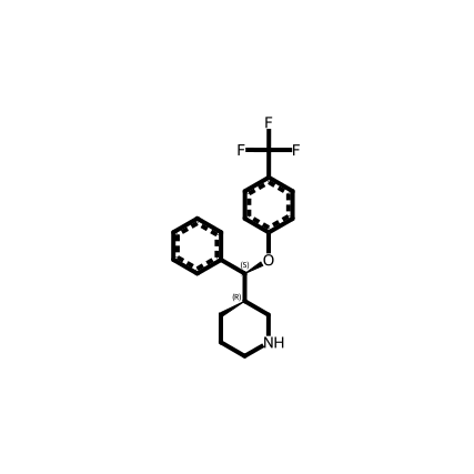 FC(F)(F)c1ccc(O[C@H](c2ccccc2)[C@@H]2CCCNC2)cc1